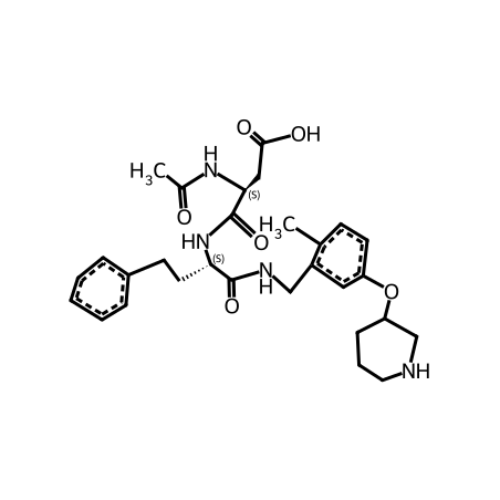 CC(=O)N[C@@H](CC(=O)O)C(=O)N[C@@H](CCc1ccccc1)C(=O)NCc1cc(OC2CCCNC2)ccc1C